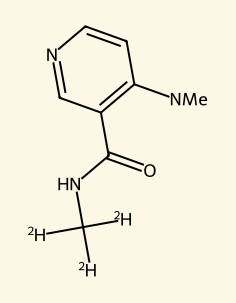 [2H]C([2H])([2H])NC(=O)c1cnccc1NC